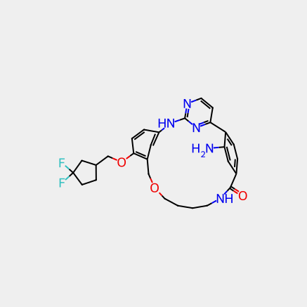 Nc1cc2ccc1-c1ccnc(n1)Nc1ccc(OCC3CCC(F)(F)C3)c(c1)COCCCCNC2=O